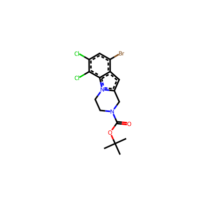 CC(C)(C)OC(=O)N1CCn2c(cc3c(Br)cc(Cl)c(Cl)c32)C1